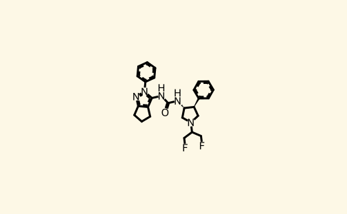 O=C(Nc1c2c(nn1-c1ccccc1)CCC2)N[C@H]1CN(C(CF)CF)C[C@@H]1c1ccccc1